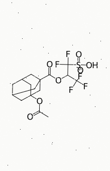 CC(=O)OC12CC3CC(C1)CC(C(=O)OC(C(F)(F)F)C(F)(F)S(=O)(=O)O)(C3)C2